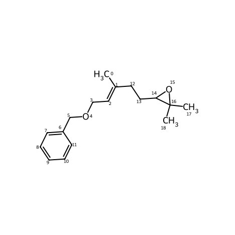 C/C(=C\COCc1ccccc1)CCC1OC1(C)C